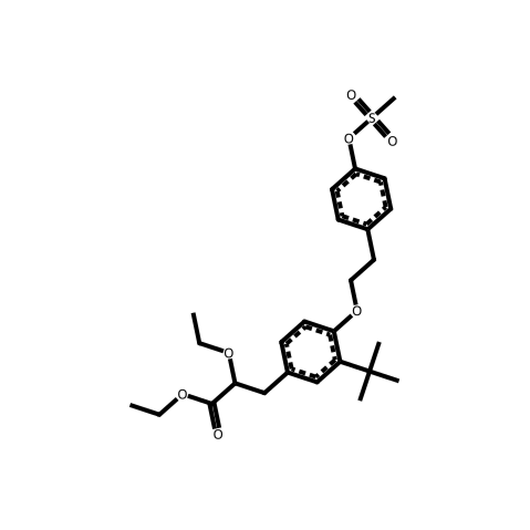 CCOC(=O)C(Cc1ccc(OCCc2ccc(OS(C)(=O)=O)cc2)c(C(C)(C)C)c1)OCC